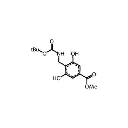 COC(=O)c1cc(O)c(CNC(=O)OC(C)(C)C)c(O)c1